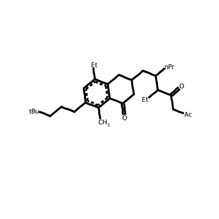 CCCC(CC1CC(=O)c2c(C)c(CCCC(C)(C)C)cc(CC)c2C1)C(CC)C(=O)CC(C)=O